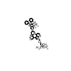 CC(C)(C)[Si](OC1CCN([C@H]2CCCN(c3ccnc4c3c(-c3cncnc3)cn4COCC[Si](C)(C)C)C2)C1)(c1ccccc1)c1ccccc1